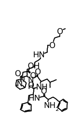 COCCOCCNCCCCC(NC(=O)C(CC(C)C)NC(=O)C(Cc1ccccc1)NC(=O)C(N)Cc1ccccc1)C(=O)N1C2CC1CN(CC(=O)O)C2